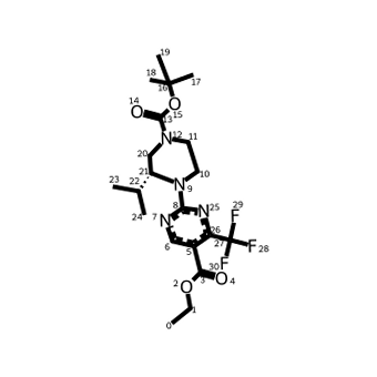 CCOC(=O)c1cnc(N2CCN(C(=O)OC(C)(C)C)C[C@H]2C(C)C)nc1C(F)(F)F